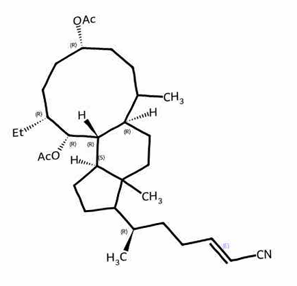 CC[C@@H]1CC[C@H](OC(C)=O)CCC(C)[C@H]2CCC3(C)C([C@H](C)CC/C=C/C#N)CC[C@H]3[C@@H]2[C@@H]1OC(C)=O